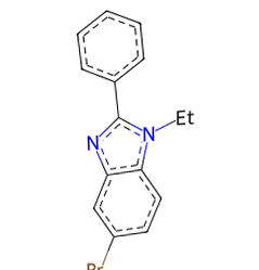 CCn1c(-c2ccccc2)nc2cc(Br)ccc21